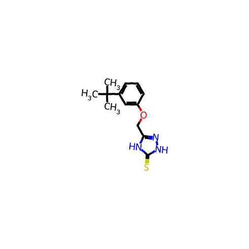 CC(C)(C)c1cccc(OCc2n[nH]c(=S)[nH]2)c1